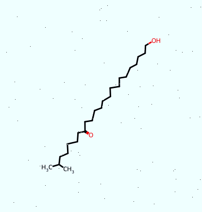 CC(C)CCCCCC(=O)CCCCCCCCCCCCCCCO